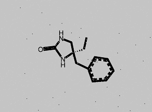 CC[C@@]1(Cc2ccccc2)CNC(=O)N1